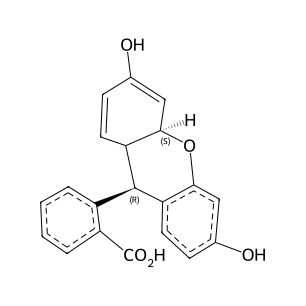 O=C(O)c1ccccc1[C@@H]1c2ccc(O)cc2O[C@@H]2C=C(O)C=CC12